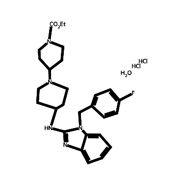 CCOC(=O)N1CCC(N2CCC(Nc3nc4ccccc4n3Cc3ccc(F)cc3)CC2)CC1.Cl.Cl.O